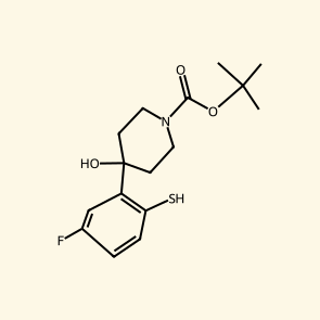 CC(C)(C)OC(=O)N1CCC(O)(c2cc(F)ccc2S)CC1